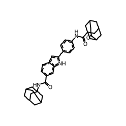 O=C(NC12CC3CC(CC(C3)C1)C2)c1ccc2cc(-c3ccc(NC(=O)C45CC6CC(C4)C(=O)C(C6)C5)cc3)[nH]c2c1